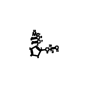 CC1=CC=CC1.[C]=O.[C]=O.[C]=O.[Mn]